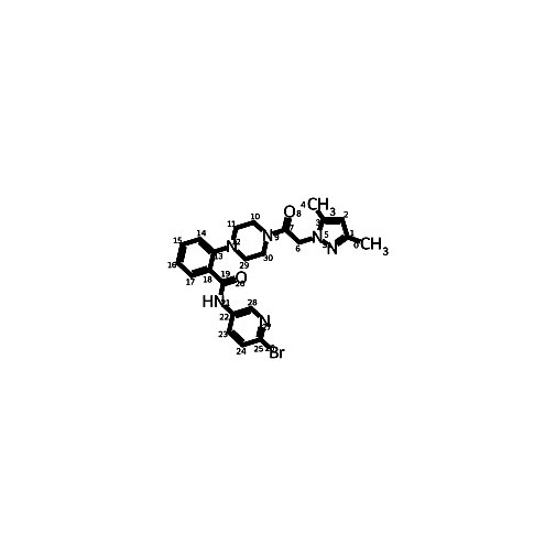 Cc1cc(C)n(CC(=O)N2CCN(c3ccccc3C(=O)Nc3ccc(Br)nc3)CC2)n1